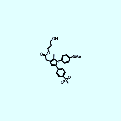 CSc1ccc(-n2c(-c3ccc(S(C)(=O)=O)cc3)cc(CC(=O)OCCCO)c2C)cc1